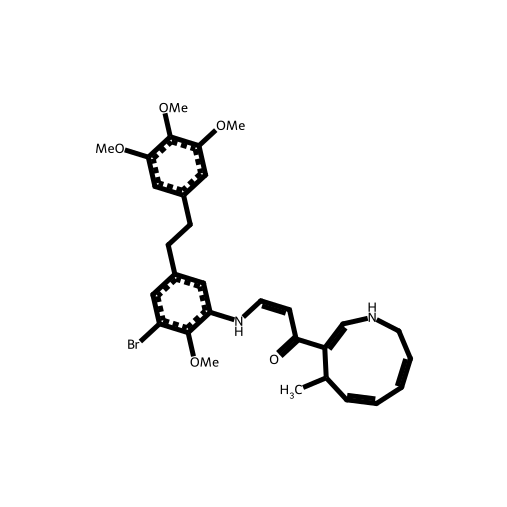 COc1cc(CCc2cc(Br)c(OC)c(N/C=C\C(=O)/C3=C/NC/C=C\C=C/C3C)c2)cc(OC)c1OC